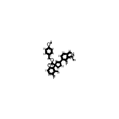 COc1ccc(COC(=O)C2(c3cccc(F)c3C)C=C(c3ccc4cnn(C)c4c3F)CC2)cc1